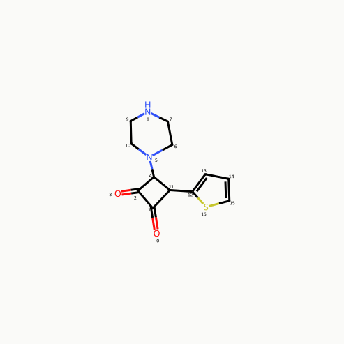 O=C1C(=O)C(N2CCNCC2)C1c1cccs1